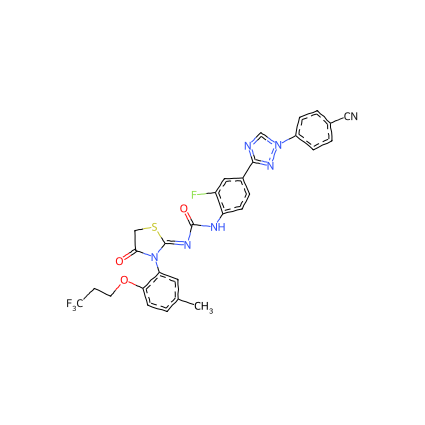 Cc1ccc(OCCC(F)(F)F)c(N2C(=O)CS/C2=N\C(=O)Nc2ccc(-c3ncn(-c4ccc(C#N)cc4)n3)cc2F)c1